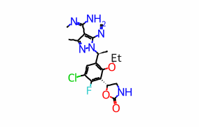 C=Nc1c(/C(N)=N\C)c(C)nn1[C@@H](C)c1cc(Cl)c(F)c([C@@H]2CNC(=O)O2)c1OCC